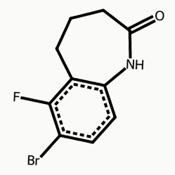 O=C1CCCc2c(ccc(Br)c2F)N1